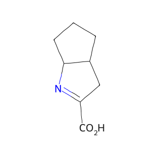 O=C(O)C1=NC2CCCC2C1